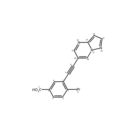 CC(C)c1ccc(C(=O)O)cc1C#Cc1cnc2ccnn2c1